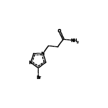 NC(=O)CCn1cnc(Br)c1